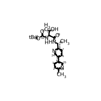 Cc1ccc(-c2ccc([C@@H](C)NC(=O)[C@@H](NC(=O)OC(C)(C)C)[C@@H](C)O)nc2)cn1